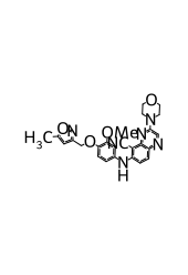 COc1cc(Nc2ccc3ncc(N4CCOCC4)nc3c2C#N)ccc1OCc1cc(C)on1